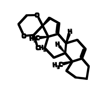 CC1OCCO[C@@]12CC=C1[C@@H]3CC=C4CCCC[C@]4(C)[C@H]3CC[C@@]12C